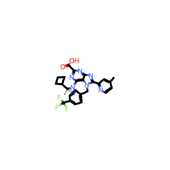 Cc1ccnc(-c2nc3nc(C(=O)O)nc(N[C@H](C)C4CCC4)c3n2Cc2ccc(C(F)(F)F)cc2)c1